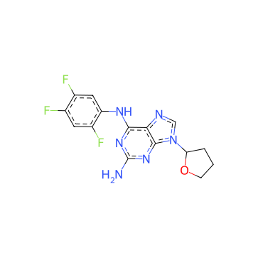 Nc1nc(Nc2cc(F)c(F)cc2F)c2ncn(C3CCCO3)c2n1